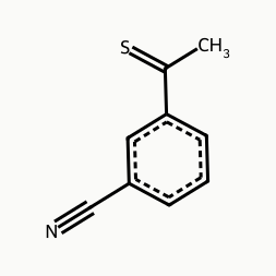 CC(=S)c1cccc(C#N)c1